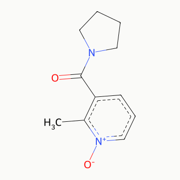 Cc1c(C(=O)N2CCCC2)ccc[n+]1[O-]